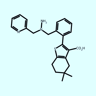 CC1(C)CCc2sc(-c3ccccc3CN(N)Cc3ccccn3)c(C(=O)O)c2C1